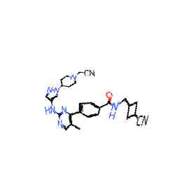 Cc1cnc(Nc2cnn(C3CCN(CC#N)CC3)c2)nc1-c1ccc(C(=O)NCC2CC(C#N)C2)cc1